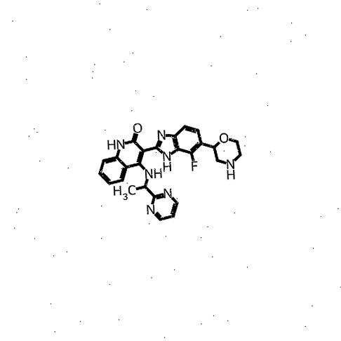 CC(Nc1c(-c2nc3ccc(C4CNCCO4)c(F)c3[nH]2)c(=O)[nH]c2ccccc12)c1ncccn1